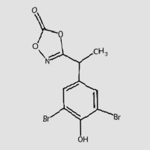 CC(c1cc(Br)c(O)c(Br)c1)c1noc(=O)o1